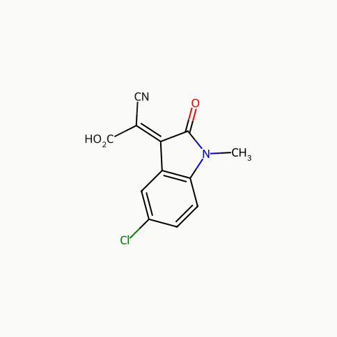 CN1C(=O)C(=C(C#N)C(=O)O)c2cc(Cl)ccc21